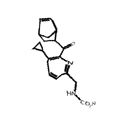 O=C(O)NCc1ccc(C2CC2)c(C(=O)C2CC3C=CC2C3)n1